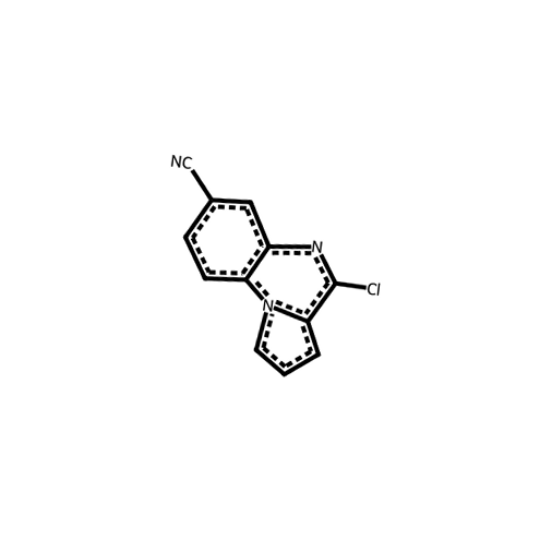 N#Cc1ccc2c(c1)nc(Cl)c1cccn12